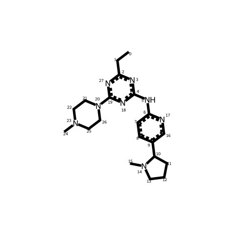 CCc1nc(Nc2ccc(C3CCCN3C)cn2)nc(N2CCN(C)CC2)n1